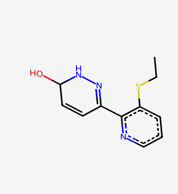 CCSc1cccnc1C1=NNC(O)C=C1